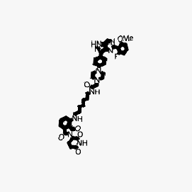 COc1cccc(F)c1-c1ncc2[nH]nc(-c3ccc(N4CCN(CC(=O)NCCCCCCCNc5cccc6c5C(=O)N(C5CCC(=O)NC5=O)C6=O)CC4)cc3)c2n1